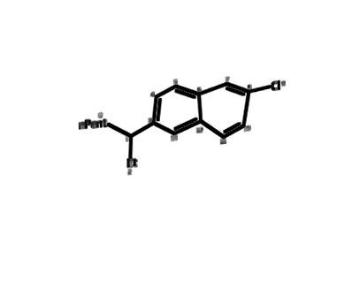 [CH2]CCCCC(CC)c1ccc2cc(Cl)ccc2c1